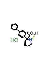 Cl.O=C(O)CC1(c2ccc(-c3ccccc3)cc2)C=CCCN1F